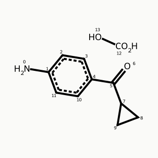 Nc1ccc(C(=O)C2CC2)cc1.O=C(O)O